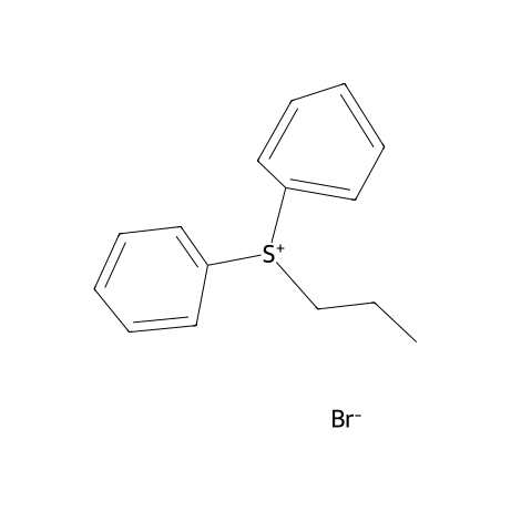 CCC[S+](c1ccccc1)c1ccccc1.[Br-]